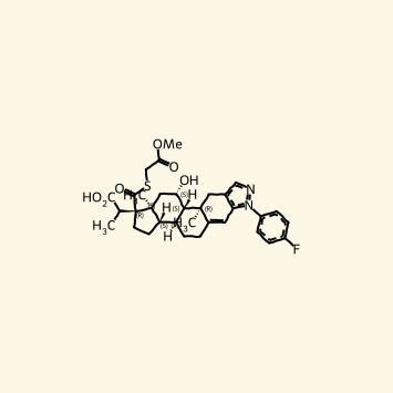 COC(=O)CSC(=O)[C@@]1(C(C)C(=O)O)CC[C@H]2[C@@H]3CCC4=Cc5c(cnn5-c5ccc(F)cc5)C[C@]4(C)[C@H]3[C@@H](O)C[C@@]21C